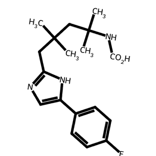 CC(C)(Cc1ncc(-c2ccc(F)cc2)[nH]1)CC(C)(C)NC(=O)O